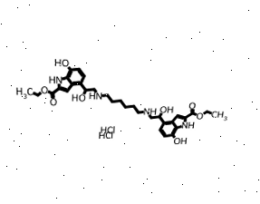 CCOC(=O)c1cc2c(C(O)CNCCCCCCNCC(O)c3ccc(O)c4[nH]c(C(=O)OCC)cc34)ccc(O)c2[nH]1.Cl.Cl